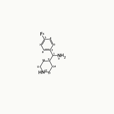 NC(c1ccc(F)cc1)C1CCNCC1